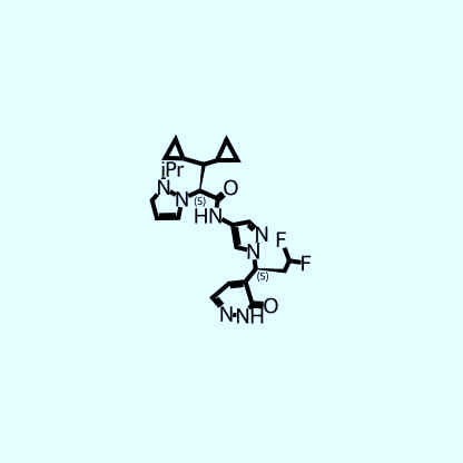 CC(C)N1CC=CN1[C@H](C(=O)Nc1cnn([C@@H](CC(F)F)c2ccn[nH]c2=O)c1)C(C1CC1)C1CC1